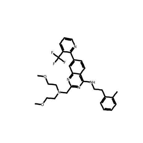 COCCN(CCOC)Cc1nc(NCCc2ccccc2C)c2ccc(-c3ncccc3C(F)(F)F)cc2n1